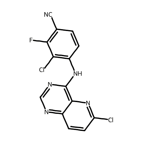 N#Cc1ccc(Nc2ncnc3ccc(Cl)nc23)c(Cl)c1F